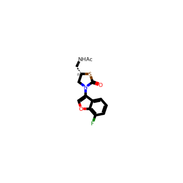 CC(=O)NC[C@H]1CN(c2coc3c(F)cccc23)C(=O)S1